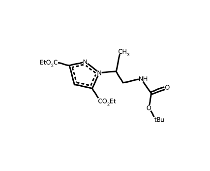 CCOC(=O)c1cc(C(=O)OCC)n(C(C)CNC(=O)OC(C)(C)C)n1